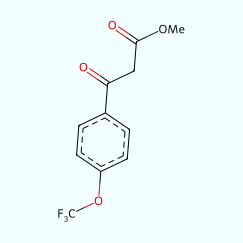 COC(=O)CC(=O)c1ccc(OC(F)(F)F)cc1